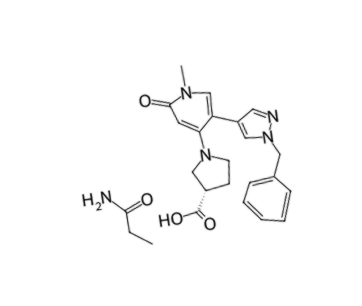 CCC(N)=O.Cn1cc(-c2cnn(Cc3ccccc3)c2)c(N2CC[C@H](C(=O)O)C2)cc1=O